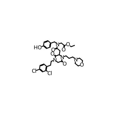 CCOC(=O)CN(Cc1ccc(O)cc1)C(=O)CC1C(=O)N(CCc2ccc(Cl)cc2Cl)CC(=O)N1CCCN1CCOCC1